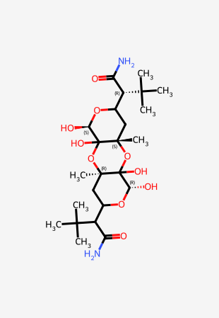 CC(C)(C)C(C(N)=O)C1C[C@@]2(C)OC3(O)[C@@H](O)OC([C@H](C(N)=O)C(C)(C)C)C[C@]3(C)OC2(O)[C@H](O)O1